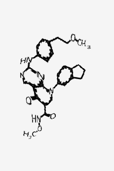 COCCc1ccc(Nc2ncc3c(=O)c(C(=O)NOC)cn(-c4ccc5c(c4)CCC5)c3n2)cc1